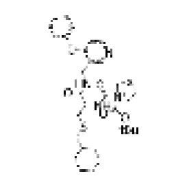 CC(C)(C)OC(=O)[N+]1(C(=O)N[C@@H](CSCC2CCCCC2)C(=O)NCc2cnccc2Oc2ccccc2)CCSC1